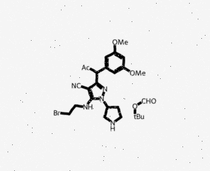 CC(C)(C)OC=O.COc1cc(OC)cc(C(C(C)=O)c2nn(C3CCNC3)c(NCCBr)c2C#N)c1